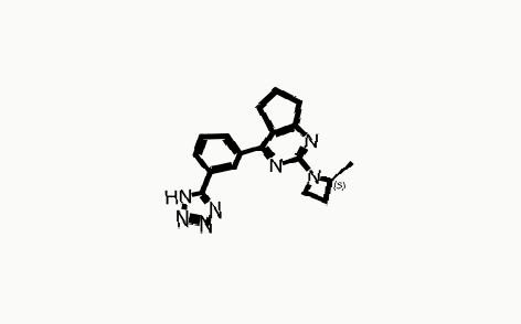 C[C@H]1CCN1c1nc2c(c(-c3cccc(-c4nnn[nH]4)c3)n1)CCC2